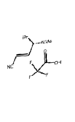 CN[C@H](/C=C/C#N)C(C)C.O=C(O)C(F)(F)F